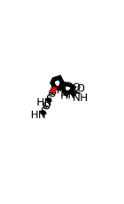 C.C1CCCCC1.C1CCCCC1.N=C=O.N=C=O.N=C=O.N=C=O